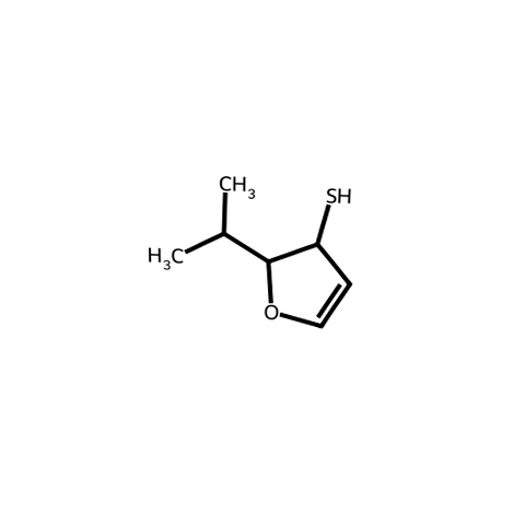 CC(C)C1OC=CC1S